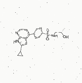 C[C@H](O)CNS(=O)(=O)c1ccc(-c2ccnc3[nH]c(C4CC4)cc23)cn1